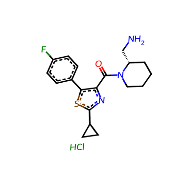 Cl.NC[C@@H]1CCCCN1C(=O)c1nc(C2CC2)sc1-c1ccc(F)cc1